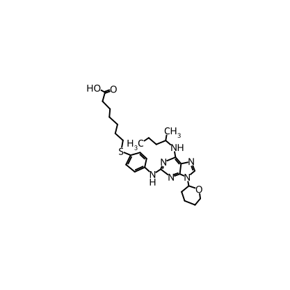 CCCC(C)Nc1nc(Nc2ccc(SCCCCCCC(=O)O)cc2)nc2c1ncn2C1CCCCO1